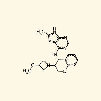 COC1CN([C@@H]2COc3ccccc3[C@H]2Nc2ncnc3[nH]c(C)cc23)C1